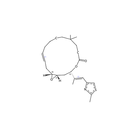 C/C(=C\c1csc(C)n1)[C@@H]1C[C@@H]2O[C@@H]2C/C=C/CCCCC(C)(C)CCC(=O)O1